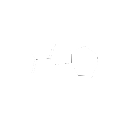 C=C(C(=O)OC1CSCCCO1)C(F)(F)F